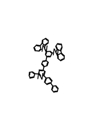 c1ccc(-c2ccc(-c3cc(-c4ccc(-c5cc(-n6c7ccccc7c7ccccc76)cc(-n6c7ccccc7c7ccccc76)c5)cc4)cc(-c4ccccc4)n3)cc2)cc1